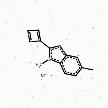 Cc1ccc2c(c1)cc(C1=CC=C1)[s+]2C(F)(F)F.[Br-]